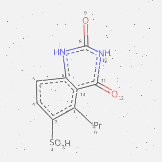 CC(C)c1c(S(=O)(=O)O)ccc2[nH]c(=O)[nH]c(=O)c12